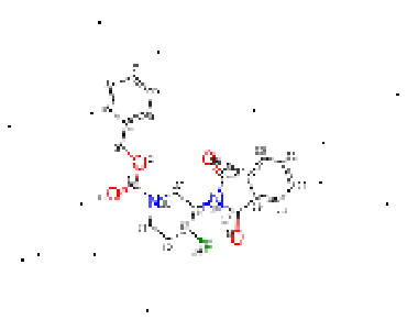 O=C(OCc1ccccc1)N1CC[C@H](F)[C@H](N2C(=O)c3ccccc3C2=O)C1